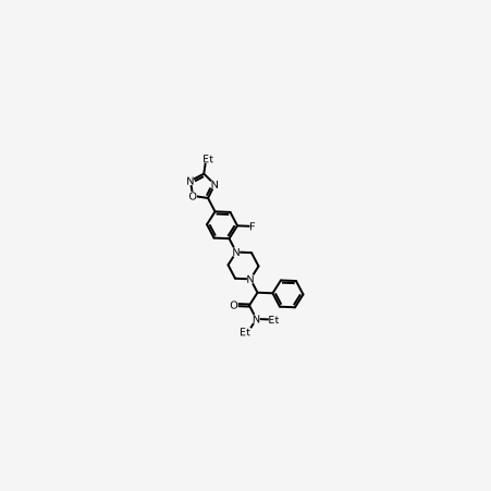 CCc1noc(-c2ccc(N3CCN(C(C(=O)N(CC)CC)c4ccccc4)CC3)c(F)c2)n1